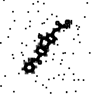 O=C(/C=C/c1ccc2c(c1)C(=O)CC1(CCN(C(=O)Nc3ccccc3)CC1)O2)NO